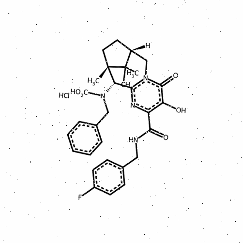 CC1(C)[C@@H]2CC[C@@]1(C)[C@@H](N(Cc1ccccc1)C(=O)O)c1nc(C(=O)NCc3ccc(F)cc3)c(O)c(=O)n1C2.Cl